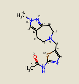 CC(=O)Nc1ncc(CN2CCc3cn(C)nc3CC2)s1